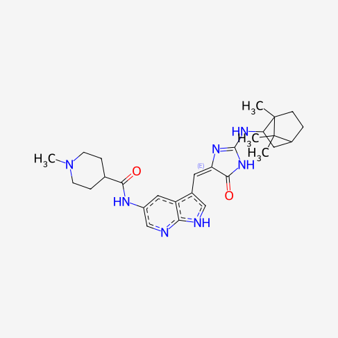 CN1CCC(C(=O)Nc2cnc3[nH]cc(/C=C4/N=C(NC5CC6CCC5(C)C6(C)C)NC4=O)c3c2)CC1